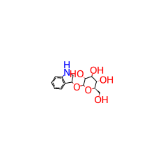 OC[C@H]1O[C@@H](OC2CNc3ccccc32)[C@H](O)[C@@H](O)[C@@H]1O